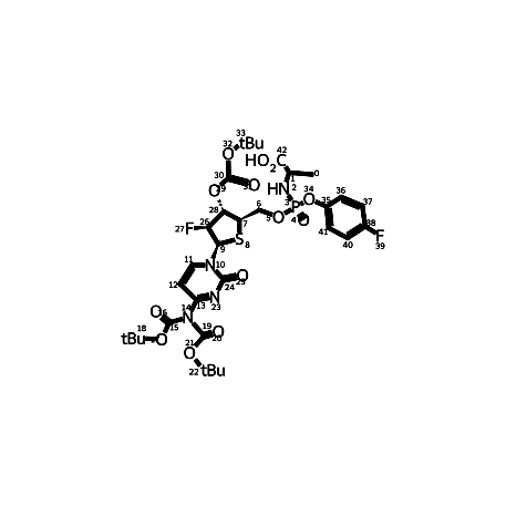 CC(NP(=O)(OC[C@H]1S[C@@H](n2ccc(N(C(=O)OC(C)(C)C)C(=O)OC(C)(C)C)nc2=O)[C@@H](F)[C@@H]1OC(=O)OC(C)(C)C)Oc1ccc(F)cc1)C(=O)O